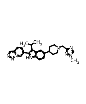 CC(C)c1c(-c2ccc3cnnn3c2)[nH]c2ccc(C3CCN(Cc4ncn(C)n4)CC3)cc12